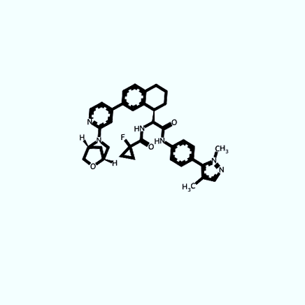 Cc1cnn(C)c1-c1ccc(NC(=O)C(NC(=O)C2(F)CC2)[C@@H]2CCCc3ccc(-c4ccnc(N5C[C@H]6C[C@@H]5CO6)c4)cc32)cc1